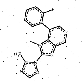 Cn1c(-n2ncnc2N)nc2cncc(-c3ccccc3F)c21